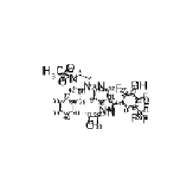 CS(=O)(=O)N1CCN(c2cc3c(cn2)c(-c2cc(C(F)(F)F)c(F)c(O)c2F)nn3C2COC2)[C@H](Cc2ccccc2)C1